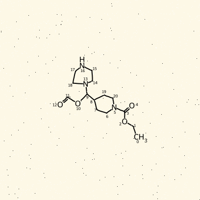 CCOC(=O)N1CCC(C(O[C]=O)N2CCNCC2)CC1